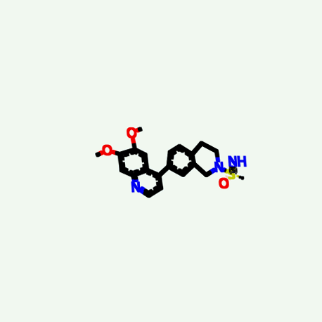 COc1cc2nccc(-c3ccc4c(c3)CN([S@@](C)(=N)=O)CC4)c2cc1OC